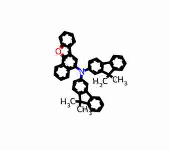 CC1(C)c2ccccc2-c2cc(N(c3ccc4c(c3)C(C)(C)c3ccccc3-4)c3cc4c5ccccc5oc4c4ccccc34)ccc21